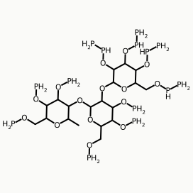 CC1OC(COP)C(OP)C(OP)C1OC1OC(COP)C(OP)C(OP)C1OC1OC(COPP)C(OPP)C(OPP)C1OPP